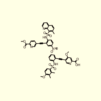 COC(=O)c1ccc(C#Cc2cc([N+](=O)[O-])ccc2NS(=O)(=O)c2c(C)ccc3cccnc23)cn1.COc1cc(C(=O)O)ncc1C#Cc1ccccc1NS(=O)(=O)c1ccc(OC)c(C)c1C